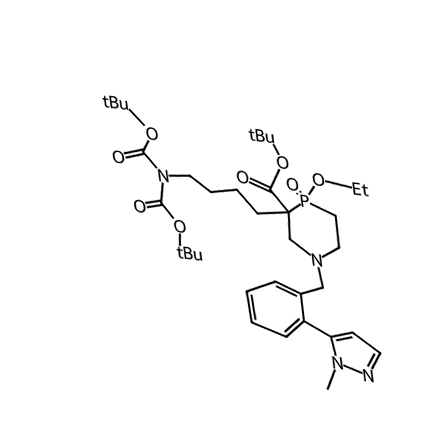 CCOP1(=O)CCN(Cc2ccccc2-c2ccnn2C)CC1(CCCCN(C(=O)OC(C)(C)C)C(=O)OC(C)(C)C)C(=O)OC(C)(C)C